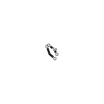 O=C=O.[O]=[Sn]=[O]